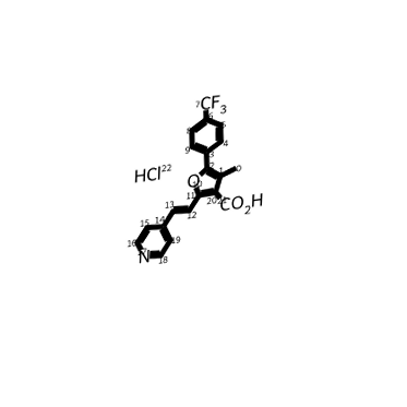 Cc1c(-c2ccc(C(F)(F)F)cc2)oc(C=Cc2ccncc2)c1C(=O)O.Cl